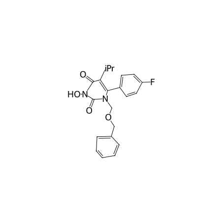 CC(C)c1c(-c2ccc(F)cc2)n(COCc2ccccc2)c(=O)n(O)c1=O